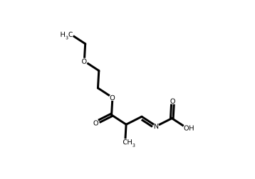 CCOCCOC(=O)C(C)C=NC(=O)O